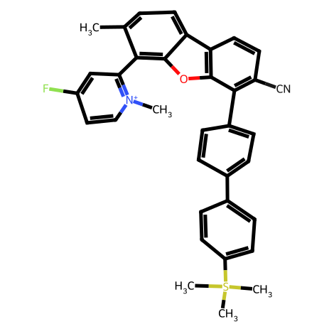 Cc1ccc2c(oc3c(-c4ccc(-c5ccc(S(C)(C)C)cc5)cc4)c(C#N)ccc32)c1-c1cc(F)cc[n+]1C